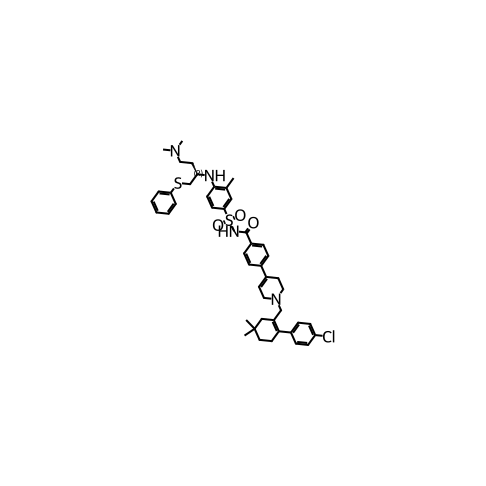 Cc1cc(S(=O)(=O)NC(=O)c2ccc(C3=CCN(CC4=C(c5ccc(Cl)cc5)CCC(C)(C)C4)CC3)cc2)ccc1N[C@H](CCN(C)C)CSc1ccccc1